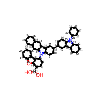 OB(O)c1ccc(-n2c3ccc(-c4ccc5c(c4)c4ccccc4n5-c4ccccc4)cc3c3cc4ccccc4cc32)c2c1oc1ccccc12